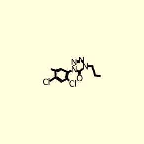 CCCn1nnn(-c2cc(C)c(Cl)cc2Cl)c1=O